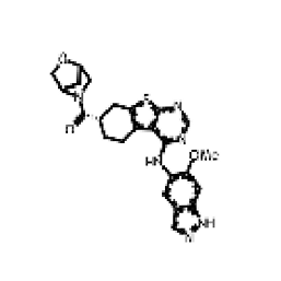 COc1cc2[nH]ncc2cc1Nc1ncnc2sc3c(c12)CC[C@H](C(=O)N1CC2CC1CO2)C3